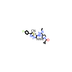 C=C/N=C(/C1CCN(C(=O)C2CC2)CC1)N(C)N/C(CC)=C(\NC)N(C)c1nc(-c2ccc(F)cc2)c(C#N)s1